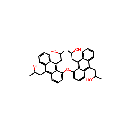 CC(O)Cc1c2ccccc2c(CC(C)O)c2c(Oc3cccc4c(CC(C)O)c5ccccc5c(CC(C)O)c34)cccc12